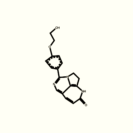 O=C1C=CC2=CN=C(c3ccc(OCCO)cc3)N3CCC(=C23)N1